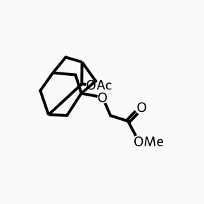 COC(=O)COC12CC3CC(C1)C(OC(C)=O)C(C3)C2